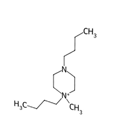 CCCCN1CC[N+](C)(CCCC)CC1